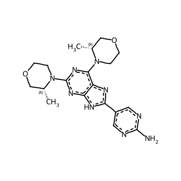 C[C@@H]1COCCN1c1nc(N2CCOC[C@H]2C)c2nc(-c3cnc(N)nc3)[nH]c2n1